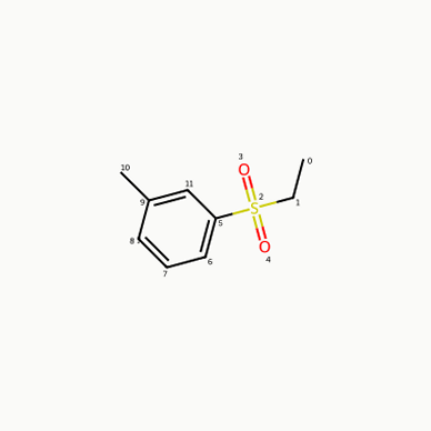 CCS(=O)(=O)c1cc[c]c(C)c1